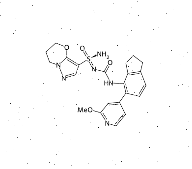 COc1cc(-c2ccc3c(c2NC(=O)N=[S@@](N)(=O)c2cnn4c2OCCC4)CCC3)ccn1